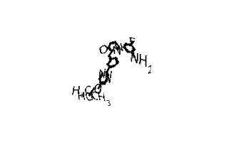 CC(C)(O)COc1cnc(-c2cccc(Cc3nn(-c4cc(N)cc(F)c4)ccc3=O)c2)nc1